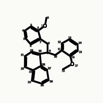 COc1ccccc1C[C](Cc1ccccc1OC)c1cccc2ccccc12